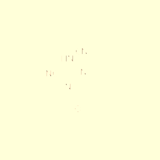 N#CNc1nc2c(nc1C#N)C(=O)c1ccccc1-2